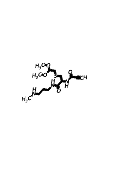 C#CC(=O)NC(CSCC(OC)OC)C(=O)NCCCNC